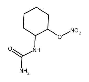 NC(=O)NC1CCCCC1O[N+](=O)[O-]